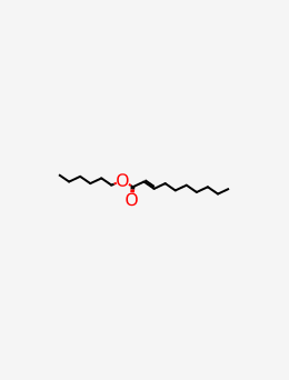 CCCCCCC/C=C/C(=O)OCCCCCC